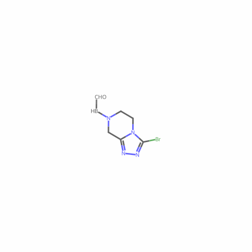 O=CBN1CCn2c(Br)nnc2C1